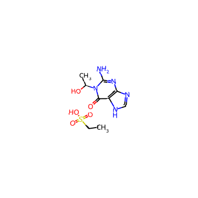 CC(O)n1c(N)nc2nc[nH]c2c1=O.CCS(=O)(=O)O